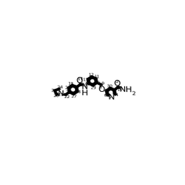 NC(=O)c1cncc(OCc2cccc(NC(=O)c3ccc(CN4CCC4)cc3)c2)c1